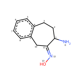 NC1CCc2ccccc2CC1=NO